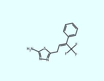 Nc1nnc(CC=C(c2ccccc2)C(F)(F)F)s1